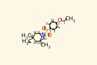 CCOc1ccc(S(=O)(=O)N2CC3(C)CC2CC(C)(C)C3)cc1